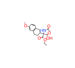 CCOC(=O)C(NC(C)=O)(C(=O)O)C1CCc2cc(OC)ccc2C1